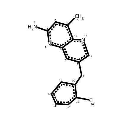 Cc1cc(N)nc2cc(Cc3ccccc3Cl)cnc12